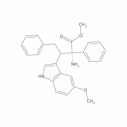 COC(=O)[C@@](N)(c1ccccc1)C(Cc1ccccc1)c1c[nH]c2ccc(OC)cc12